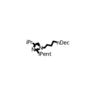 CCCCCCCCCCCCCCn1cc(C(C)C)nc1C(C)CCC